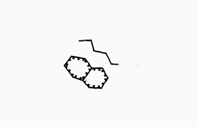 CCOC(=O)CCCCC(=O)OCC.c1ccc2ccccc2c1